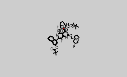 CC(C)(C)C(=O)Oc1cc(-c2nc(Cl)c3c(N4C[C@H]5CC[C@@H]([C@H]4CO[Si](C)(C)C(C)(C)C)N5C(=O)O)nc(OC[C@@]45CCCN4C[C@H](F)C5)nc3c2F)c2ccccc2c1